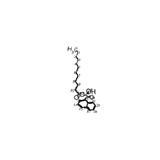 CCCCCCCCCCCCOc1ccc2ccccc2c1S(=O)(=O)O